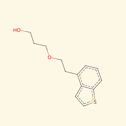 OCCCOCCc1cccc2sccc12